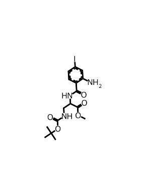 COC(=O)C(CNC(=O)OC(C)(C)C)NC(=O)c1ccc(I)cc1N